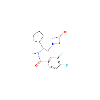 CN(C(=O)c1ccc(F)c(F)c1)C(CN1CC(O)C1)C1CCCC1